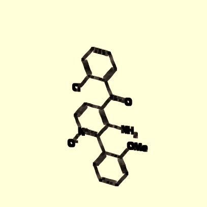 COc1ccccc1-c1c(N)c(C(=O)c2ccccc2Cl)cc[n+]1[O-]